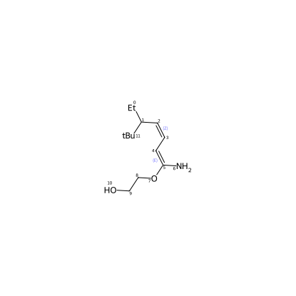 CCC(/C=C\C=C(/N)OCCO)C(C)(C)C